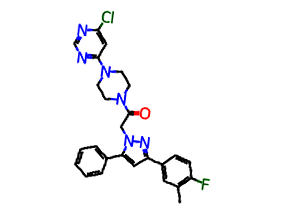 Cc1cc(-c2cc(-c3ccccc3)n(CC(=O)N3CCN(c4cc(Cl)ncn4)CC3)n2)ccc1F